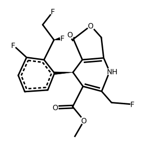 COC(=O)C1=C(CF)NC2=C(C(=O)OC2)[C@@H]1c1cccc(F)c1[C@H](F)CF